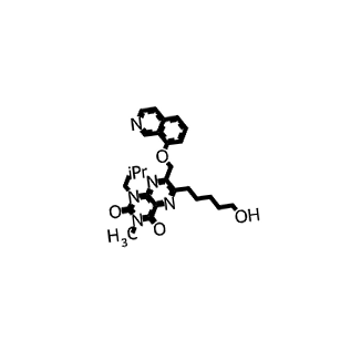 CC(C)Cn1c(=O)n(C)c(=O)c2nc(CCCCCO)c(COc3cccc4ccncc34)nc21